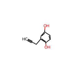 C#CCc1cc(O)ccc1O